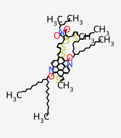 CCCCCCCCCCCCC(CCCCCCCCCC)COc1nc2ccc3c4cc(-c5ccc(-c6sc(-c7ccc(C)s7)c7c6C(=O)N(CC(CC)CCCC)C7=O)s5)sc4c4c(OCC(CCCCCCCCCC)CCCCCCCCCCCC)nc5ccc6c7cc(C)sc7c1c1c2c3c4c5c61